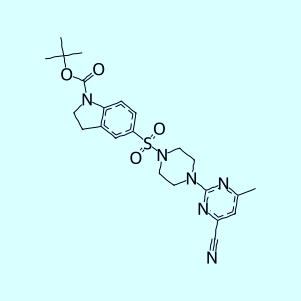 Cc1cc(C#N)nc(N2CCN(S(=O)(=O)c3ccc4c(c3)CCN4C(=O)OC(C)(C)C)CC2)n1